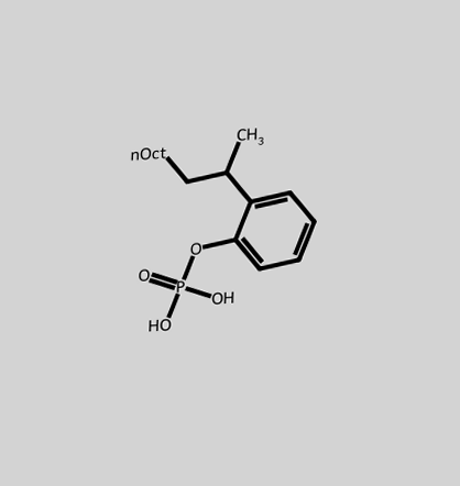 CCCCCCCCCC(C)c1ccccc1OP(=O)(O)O